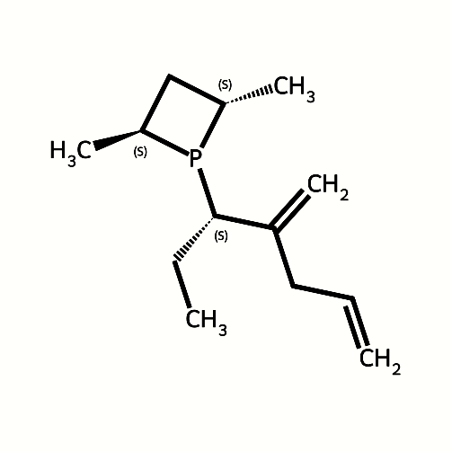 C=CCC(=C)[C@H](CC)P1[C@@H](C)C[C@@H]1C